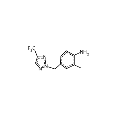 Cc1cc(Cn2ncc(C(F)(F)F)n2)ccc1N